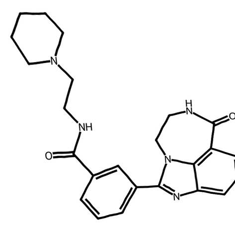 O=C(NCCN1CCCCC1)c1cccc(-c2nc3cccc4c3n2CCNC4=O)c1